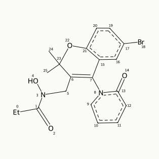 CCC(=O)N(O)CC1=C(n2ccccc2=O)c2cc(Br)ccc2OC1(C)C